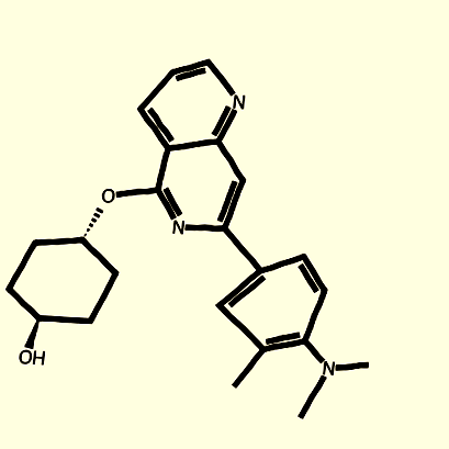 Cc1cc(-c2cc3ncccc3c(O[C@H]3CC[C@H](O)CC3)n2)ccc1N(C)C